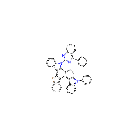 c1ccc(-c2nc(-n3c4ccccc4c4c5sc6ccccc6c5c5c(ccc6c5c5ccccc5n6-c5ccccc5)c43)nc3ccccc23)cc1